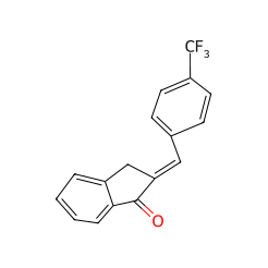 O=C1C(=Cc2ccc(C(F)(F)F)cc2)Cc2ccccc21